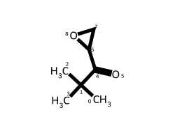 CC(C)(C)C(=O)C1CO1